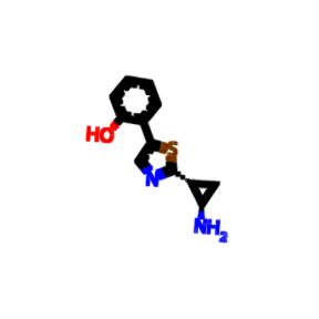 N[C@@H]1C[C@H]1c1ncc(-c2ccccc2O)s1